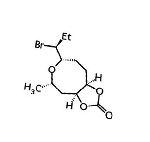 CC[C@H](Br)[C@@H]1CC[C@H]2OC(=O)O[C@H]2C[C@H](C)O1